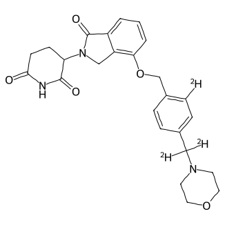 [2H]c1cc(C([2H])([2H])N2CCOCC2)ccc1COc1cccc2c1CN(C1CCC(=O)NC1=O)C2=O